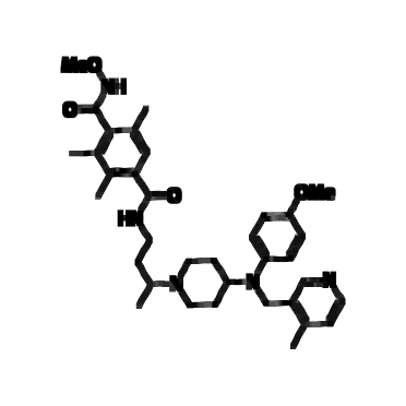 CONC(=O)c1c(C)cc(C(=O)NCCC(C)N2CCC(N(Cc3cnccc3C)c3ccc(OC)cc3)CC2)c(C)c1C